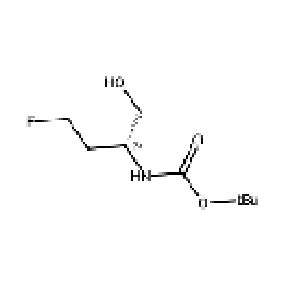 CC(C)(C)OC(=O)N[C@@H](CO)CCF